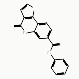 O=C(Nc1ccccc1)c1ccc2c(c1)[nH]c(=O)c1ccsc12